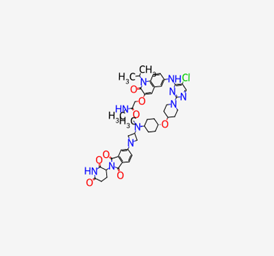 CNC(=O)COc1cc2cc(Nc3nc(N4CCC(O[C@H]5CC[C@H](N(C)C6CN(c7ccc8c(c7)C(=O)N(C7CCC(=O)NC7=O)C8=O)C6)CC5)CC4)ncc3Cl)ccc2n(C(C)C)c1=O